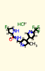 Cc1cnc(CNC(=O)C2CC(F)CN2)cc1-c1ccc(C(F)(F)F)nc1.Cl